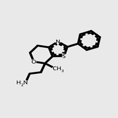 CC1(CCN)OCCc2nc(-c3ccccc3)sc21